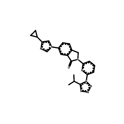 CC(C)c1nnnn1-c1cccc(N2Cc3ccc(-n4cnc(C5CC5)c4)cc3C2=O)n1